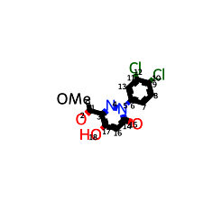 COC(=O)c1nn(-c2ccc(Cl)c(Cl)c2)c(=O)cc1O